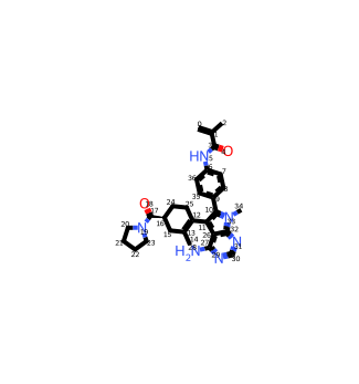 C=C(C)C(=O)Nc1ccc(-c2c(C3=C(C)C[C@@H](C(=O)N4CCCC4)CC3)c3c(N)ncnc3n2C)cc1